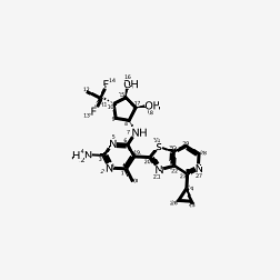 Cc1nc(N)nc(N[C@@H]2C[C@H](C(C)(F)F)[C@@H](O)[C@H]2O)c1-c1nc2c(C3CC3)nccc2s1